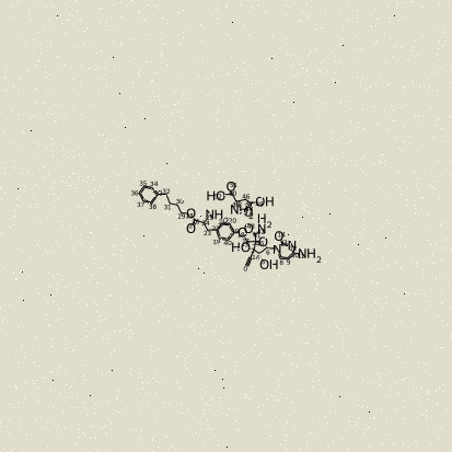 C#C[C@]1(O)[C@@H](O)[C@H](n2ccc(N)nc2=O)O[C@@]1(COc1ccc(C[C@H](N)C(=O)OCCCCc2ccccc2)cc1)C(N)=O.N[C@@H](CC(=O)O)C(=O)O